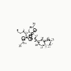 CCCC(CP(=O)(CSc1ccc2ccccc2c1)OCC)C(=O)OCC